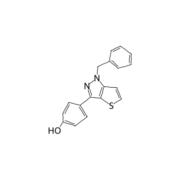 Oc1ccc(-c2nn(Cc3ccccc3)c3ccsc23)cc1